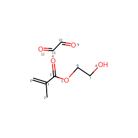 C=C(C)C(=O)OCCO.O=CC=O